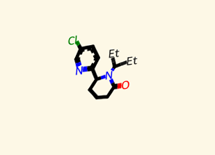 CCC(CC)N1C(=O)CCCC1c1ccc(Cl)cn1